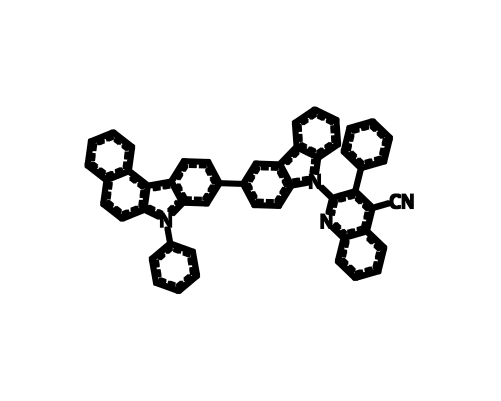 N#Cc1c(-c2ccccc2)c(-n2c3ccccc3c3cc(-c4ccc5c6c7ccccc7ccc6n(-c6ccccc6)c5c4)ccc32)nc2ccccc12